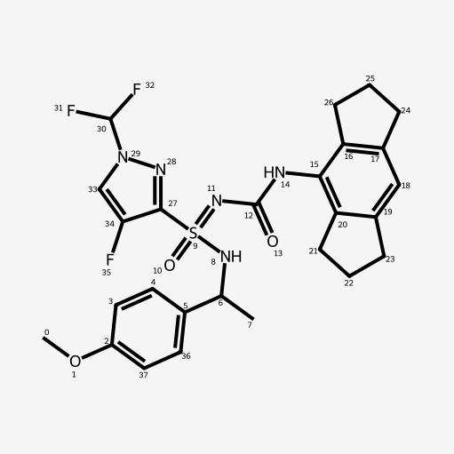 COc1ccc(C(C)NS(=O)(=NC(=O)Nc2c3c(cc4c2CCC4)CCC3)c2nn(C(F)F)cc2F)cc1